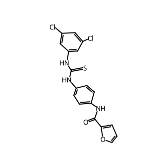 O=C(Nc1ccc(NC(=S)Nc2cc(Cl)cc(Cl)c2)cc1)c1ccco1